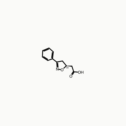 O=C(O)C[C@@H]1CC(c2ccccc2)=NO1